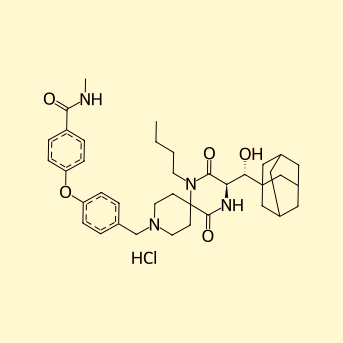 CCCCN1C(=O)[C@@H]([C@H](O)C23CC4CC(CC(C4)C2)C3)NC(=O)C12CCN(Cc1ccc(Oc3ccc(C(=O)NC)cc3)cc1)CC2.Cl